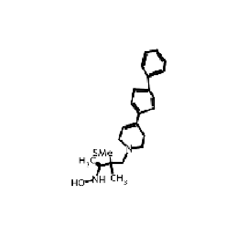 C=C(NO)C(C)(CN1CC=C(c2ccc(-c3ccccc3)cc2)CC1)SC